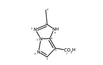 Cc1nn2ncc(C(=O)O)c2[nH]1